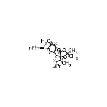 CCCC#Cc1cc(C[C@]2([C@@H](C)CC(C)C)OC(C)(C)OC2=O)ncc1C